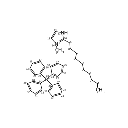 CCCCCCCCCCc1[nH]cc[n+]1C.c1ccc([B-](c2ccccc2)(c2ccccc2)c2ccccc2)cc1